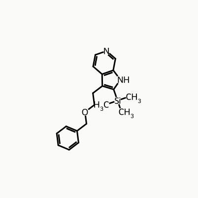 C[Si](C)(C)c1[nH]c2cnccc2c1CCOCc1ccccc1